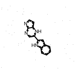 c1ccc2[nH]c(-c3cnc4nccc-4[nH]3)cc2c1